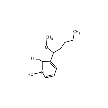 CCCCC(OC)C1=CC=CN(O)C1C